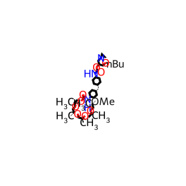 CCCCOCC(CN1CC1)OC(=O)N[C@H]1CC[C@@H](C[C@H]2CC[C@@H](NC(=O)OC[C@H](C)OC[C@@H](C)OC[C@H](C)OC[C@@H](C)OC[C@H](C)OC)CC2)CC1